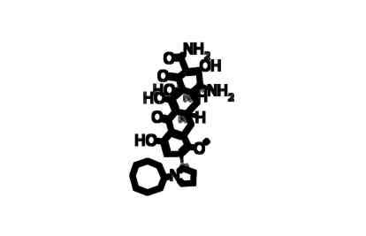 COc1c([C@@H]2CCCN2C2CCCCCCC2)cc(O)c2c1C[C@H]1C[C@H]3[C@H](N)C(O)=C(C(N)=O)C(=O)[C@@]3(O)C(O)=C1C2=O